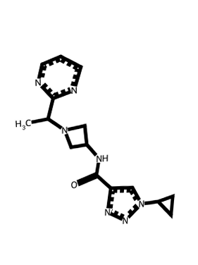 CC(c1ncccn1)N1CC(NC(=O)c2cn(C3CC3)nn2)C1